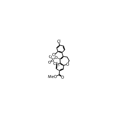 COC(=O)c1ccc2c(c1)OCCC(c1ccc(Cl)cc1Cl)=C2OS(=O)(=O)C(F)(F)F